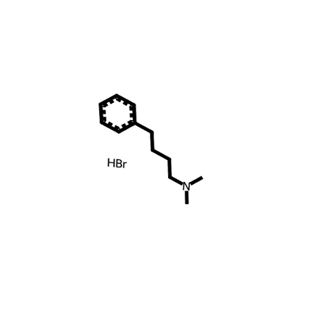 Br.CN(C)CCCCc1ccccc1